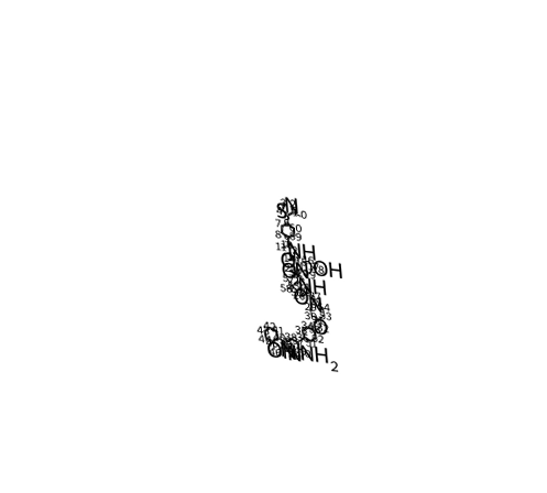 Cc1ncsc1-c1ccc([C@H](C)NC(=O)[C@@H]2C[C@@H](O)CN2C(=O)[C@@H](NC(=O)CN2CCC(Oc3ccc(-c4cc(-c5ccccc5O)nnc4N)cc3)CC2)C(C)(C)C)cc1